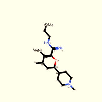 CNC1=C(C(=N)NCCOC)OC(C2CCN(C)CC2)CC1C